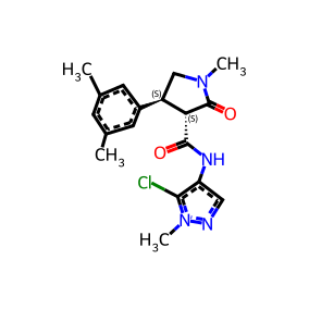 Cc1cc(C)cc([C@H]2CN(C)C(=O)[C@@H]2C(=O)Nc2cnn(C)c2Cl)c1